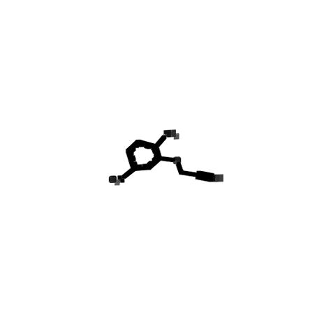 C#CCOc1cc([N+](=O)[O-])ccc1N